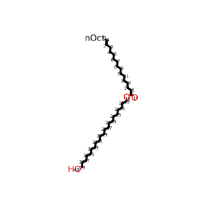 CCCCCCCCC=CCCCCCCCCCCCCCC(=O)OCCCCCCCCCCCCCCCCCCCCCO